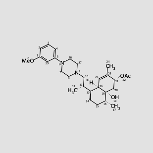 COc1cccc(N2CCN(C[C@@H](C)[C@@H]3CC[C@@H](C)[C@]4(O)[C][C@@H](OC(C)=O)C(C)=C[C@H]34)CC2)c1